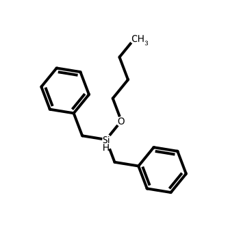 CCCCO[SiH](Cc1ccccc1)Cc1ccccc1